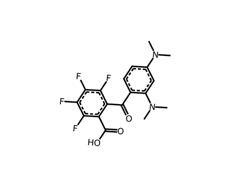 CN(C)c1ccc(C(=O)c2c(F)c(F)c(F)c(F)c2C(=O)O)c(N(C)C)c1